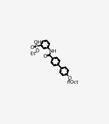 CCCCCCCCOc1ccc(-c2ccc(C(=O)Nc3cccc(P(=O)(O)OCC)c3)cc2)cc1